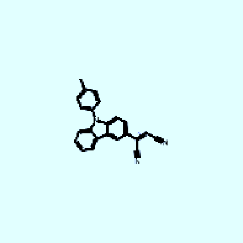 Cc1ccc(-n2c3ccccc3c3cc(/C(C#N)=C/C#N)ccc32)cc1